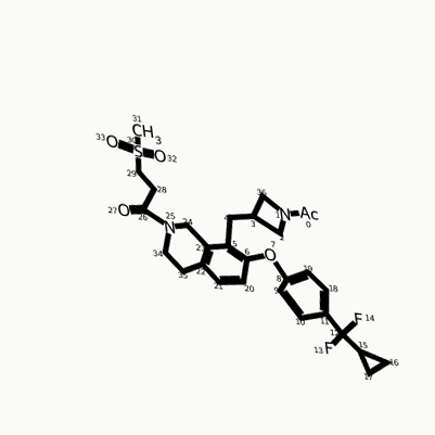 CC(=O)N1CC(Cc2c(Oc3ccc(C(F)(F)C4CC4)cc3)ccc3c2CN(C(=O)CCS(C)(=O)=O)CC3)C1